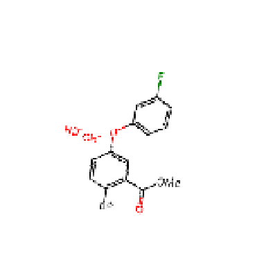 [B+2]c1ccc(Oc2cccc(F)c2)cc1C(=O)OC.[OH-].[OH-]